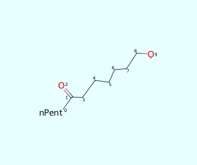 CCCCCC(=O)CCCCCC[O]